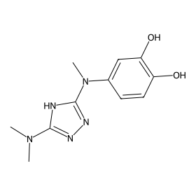 CN(C)c1nnc(N(C)c2ccc(O)c(O)c2)[nH]1